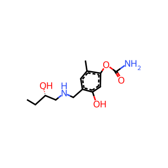 CC[C@H](O)CNCc1cc(C)c(OC(N)=O)cc1O